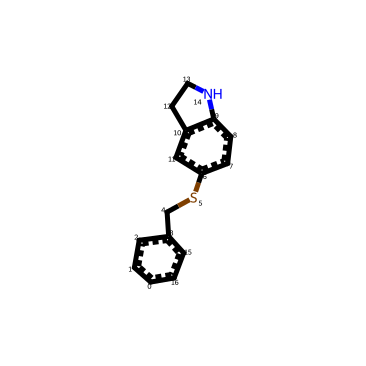 c1ccc(CSc2ccc3c(c2)CCN3)cc1